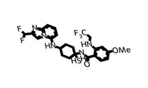 COc1ccc(C(=O)NC2(S)CCC(Nc3cccc4nc(C(F)F)cn34)CC2)c(NCC(F)(F)F)c1